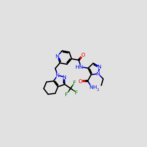 CCn1ncc(NC(=O)c2ccnc(Cn3nc(C(F)(F)F)c4c3CCCC4)c2)c1C(N)=O